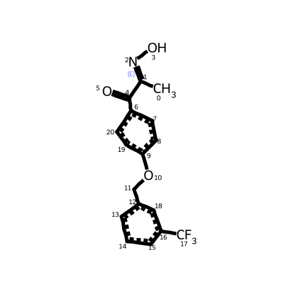 C/C(=N\O)C(=O)c1ccc(OCc2cccc(C(F)(F)F)c2)cc1